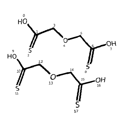 OC(=S)COCC(O)=S.OC(=S)COCC(O)=S